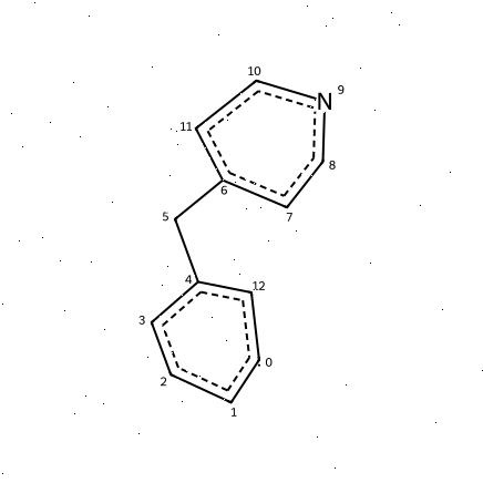 [c]1cccc(Cc2ccncc2)c1